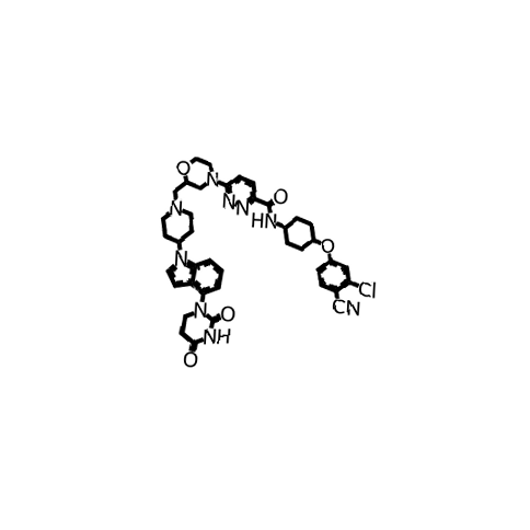 N#Cc1ccc(OC2CCC(NC(=O)c3ccc(N4CCOC(CN5CCC(n6ccc7c(N8CCC(=O)NC8=O)cccc76)CC5)C4)nn3)CC2)cc1Cl